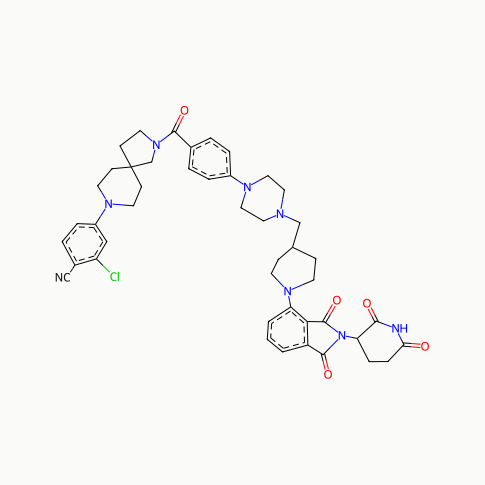 N#Cc1ccc(N2CCC3(CCN(C(=O)c4ccc(N5CCN(CC6CCN(c7cccc8c7C(=O)N(C7CCC(=O)NC7=O)C8=O)CC6)CC5)cc4)C3)CC2)cc1Cl